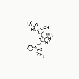 C=CC(=O)Nc1cc(O)cc(-n2nc(CCN(C(=O)C=C)c3ccccc3)c3ncnc(N)c32)c1